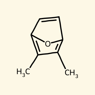 Cc1c(C)c2ccc1o2